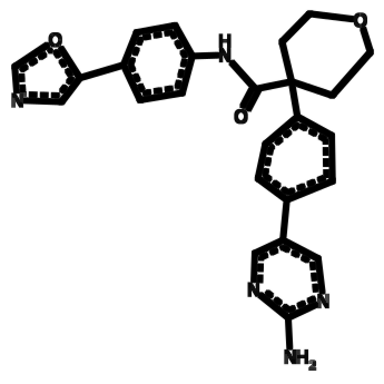 Nc1ncc(-c2ccc(C3(C(=O)Nc4ccc(-c5cnco5)cc4)CCOCC3)cc2)cn1